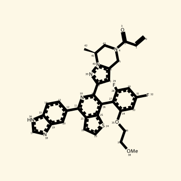 C=CC(=O)N1Cc2cc(-c3nc(-c4ccc5[nH]cnc5c4)c4ccsc4c3-c3c(F)cc(F)cc3OCCOC)nn2[C@@H](C)C1